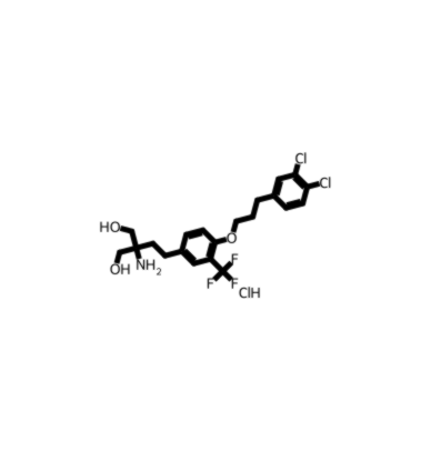 Cl.NC(CO)(CO)CCc1ccc(OCCCc2ccc(Cl)c(Cl)c2)c(C(F)(F)F)c1